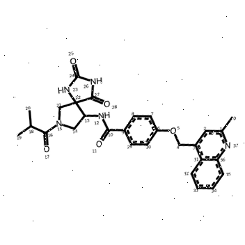 Cc1cc(COc2ccc(C(=O)NC3CN(C(=O)C(C)C)CC34NC(=O)NC4=O)cc2)c2ccccc2n1